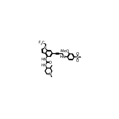 COc1cc(S(C)(=O)=O)ccc1NCC#Cc1cc(NC(=O)NC2CCN(C)CC2C)c2ccn(CC(F)(F)F)c2c1